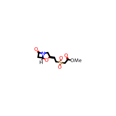 COC(=O)CS(=O)(=O)C/C=C1/CN2C(=O)C[C@H]2O1